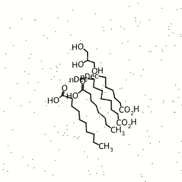 CCCCCCCC(=O)O.CCCCCCCCCC(=O)O.CCCCCCCCCCCCCCCC(=O)O.CCCCCCCCCCCCCCCCCC(=O)O.OCC(O)CO